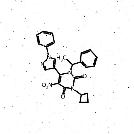 CC(c1ccccc1)n1c(-c2cnn(-c3ccccc3)c2)c([N+](=O)[O-])c(=O)n(C2CCC2)c1=O